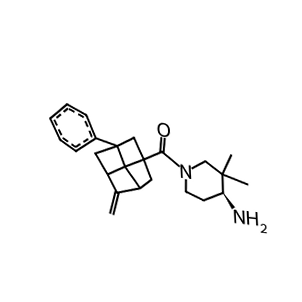 C=C1C2CC3(C(=O)N4CC[C@H](N)C(C)(C)C4)CC4(c5ccccc5)CC1C234